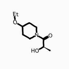 CCOC1CCN(C(=O)[C@@H](C)O)CC1